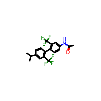 CC(=O)Nc1ccc(-c2ccc(C(C)C)cc2C(F)(F)F)c(C(F)(F)F)c1